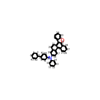 c1ccc(-c2ccc(N(c3ccccc3)c3ccc4c(ccc5c4c4ccccc4c4oc6ccccc6c54)c3)cc2)cc1